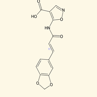 O=C(/C=C/c1ccc2c(c1)OCO2)Nc1oncc1C(=O)O